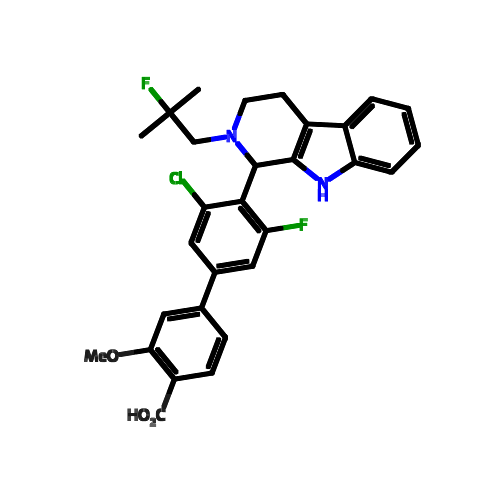 COc1cc(-c2cc(F)c(C3c4[nH]c5ccccc5c4CCN3CC(C)(C)F)c(Cl)c2)ccc1C(=O)O